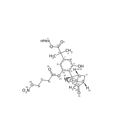 CCCCCCOC(=O)C(C)(C)c1cc(O)c([C@H]2CC(=O)[C@H]3C[C@@H]2C3(C)C)c(OC(=O)CCCO[N+](=O)[O-])c1